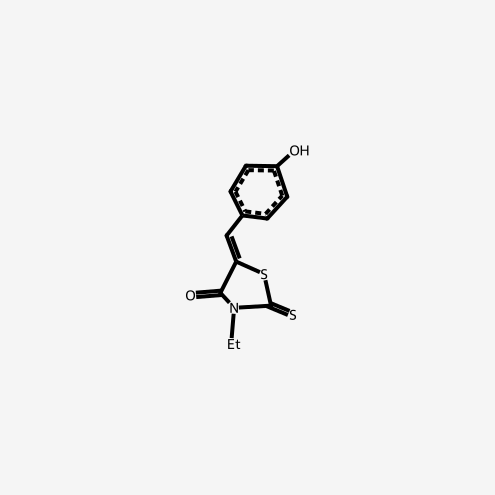 CCN1C(=O)/C(=C/c2ccc(O)cc2)SC1=S